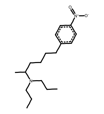 CCCN(CCC)C(C)CCCCc1ccc([N+](=O)[O-])cc1